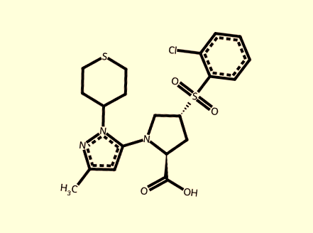 Cc1cc(N2C[C@H](S(=O)(=O)c3ccccc3Cl)C[C@H]2C(=O)O)n(C2CCSCC2)n1